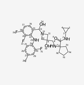 O=C(NC1CC1)C1(NCC2(O)CN(C(O)c3ccc(F)c(F)c3Nc3ccc(I)cc3F)C2)CCCC1